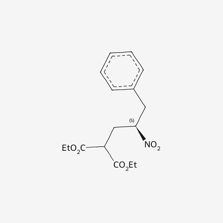 CCOC(=O)C(C[C@@H](Cc1ccccc1)[N+](=O)[O-])C(=O)OCC